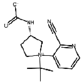 CC(C)(C)[N+]1(c2cccnc2C#N)CC[C@H](NC(=O)[O-])C1